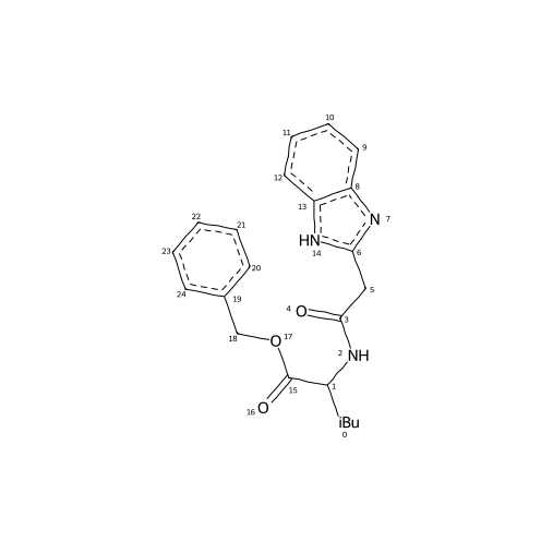 CCC(C)C(NC(=O)Cc1nc2ccccc2[nH]1)C(=O)OCc1ccccc1